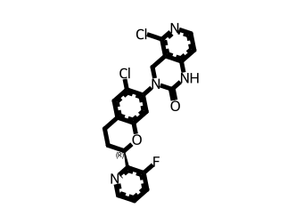 O=C1Nc2ccnc(Cl)c2CN1c1cc2c(cc1Cl)CC[C@H](c1ncccc1F)O2